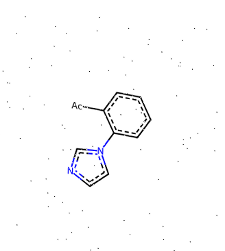 CC(=O)c1ccccc1-n1ccnc1